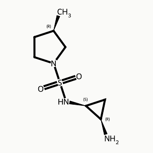 C[C@@H]1CCN(S(=O)(=O)N[C@H]2C[C@H]2N)C1